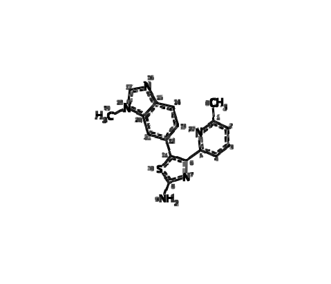 Cc1cccc(-c2nc(N)sc2-c2ccc3ncn(C)c3c2)n1